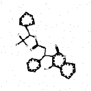 O=C(CC(c1ccccc1)c1c(O)c2ccccc2oc1=O)OC(c1ccccc1)C(F)(F)F